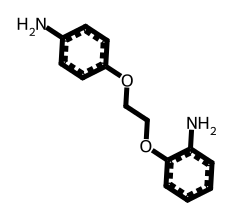 Nc1ccc(OCCOc2ccccc2N)cc1